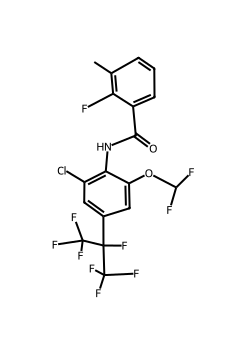 Cc1cccc(C(=O)Nc2c(Cl)cc(C(F)(C(F)(F)F)C(F)(F)F)cc2OC(F)F)c1F